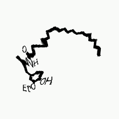 C=CCCC/C=C\C/C=C/CC/C=C\C/C=C/CCC(=O)NC(C)Cc1ccc(O)c(OCC)c1